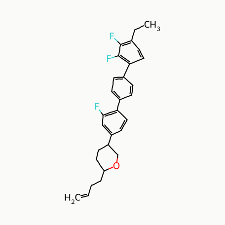 C=CCCC1CCC(c2ccc(-c3ccc(-c4ccc(CC)c(F)c4F)cc3)c(F)c2)CO1